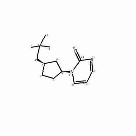 CC(C)(C)C[C@@H]1CC[C@H](n2ccccc2=O)C1